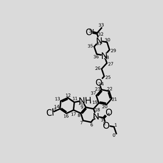 CCOC(=O)N1CCC2=C(NC3C=CC(Cl)=CC23)C1c1cccc(OCCCN2CCN(C(C)=O)CC2)c1